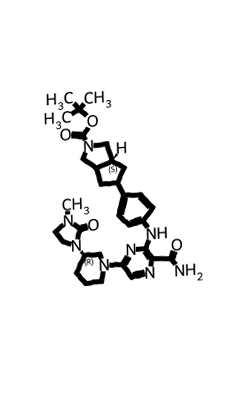 CN1CCN([C@@H]2CCCN(c3cnc(C(N)=O)c(Nc4ccc(C5CC6CN(C(=O)OC(C)(C)C)C[C@H]6C5)cc4)n3)C2)C1=O